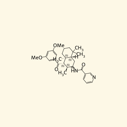 COc1cc(OC)cc(C(=O)[C@H]2[C@H](C)[C@H](NC(=O)c3cccnc3)C[C@H]3C(C)(C)CCC[C@]23C)c1